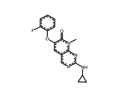 Cn1c(=O)c(Oc2ccccc2F)cc2cnc(NC3CC3)nc21